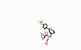 COCCN(Cc1ccnc(-c2ccc(OC(F)(F)F)cc2)c1)C(=O)c1cn(C)cn1